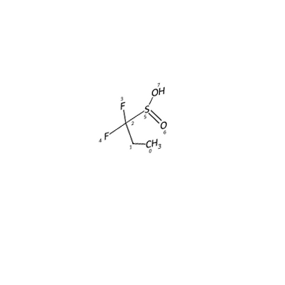 CCC(F)(F)S(=O)O